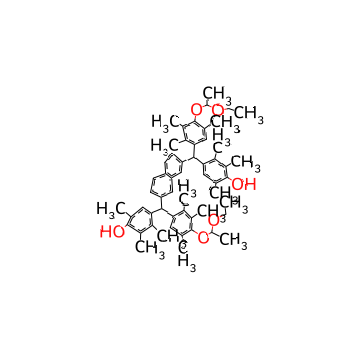 CCOC(C)Oc1c(C)cc(C(c2ccc3ccc(C(c4cc(C)c(O)c(C)c4C)c4cc(C)c(OC(C)OCC)c(C)c4C)cc3c2)c2cc(C)c(O)c(C)c2C)c(C)c1C